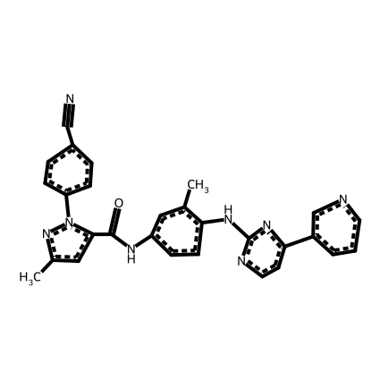 Cc1cc(C(=O)Nc2ccc(Nc3nccc(-c4cccnc4)n3)c(C)c2)n(-c2ccc(C#N)cc2)n1